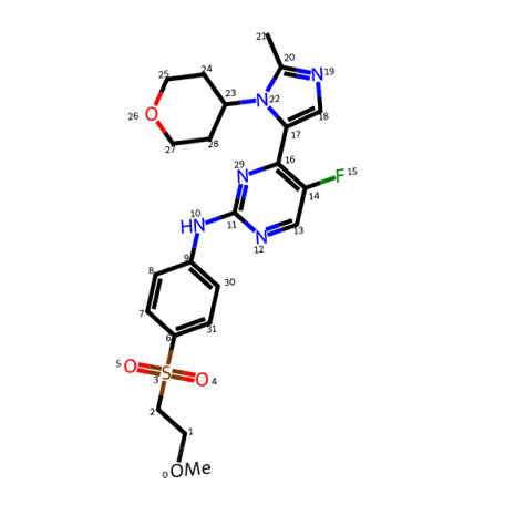 COCCS(=O)(=O)c1ccc(Nc2ncc(F)c(-c3cnc(C)n3C3CCOCC3)n2)cc1